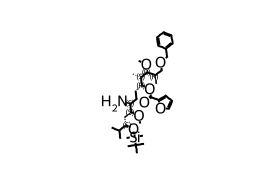 CO[C@@H]([C@@H](C)[C@@H](CC[C@H](N)[C@H](C[C@H](O[Si](C)(C)C(C)(C)C)C(C)C)OC)OC(=O)c1ccco1)[C@H](C)COCc1ccccc1